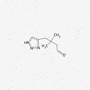 CC(C)(CC=O)Cc1c[nH]nn1